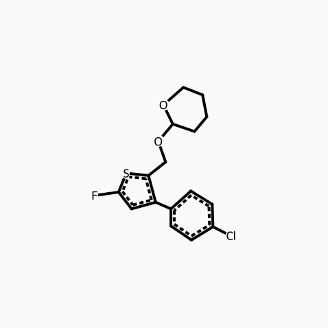 Fc1cc(-c2ccc(Cl)cc2)c(COC2CCCCO2)s1